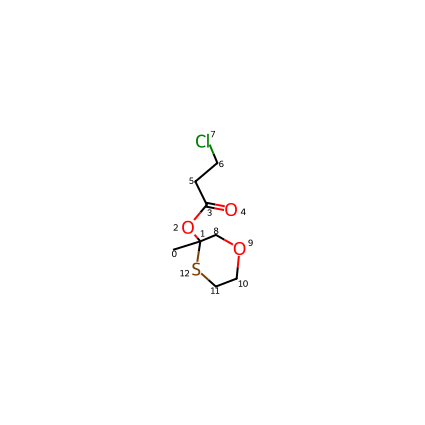 CC1(OC(=O)CCCl)COCCS1